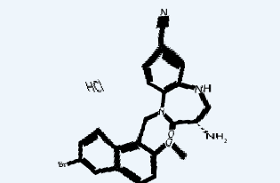 COc1ccc2cc(Br)ccc2c1CN1C(=O)[C@@H](N)CNc2cc(C#N)ccc21.Cl